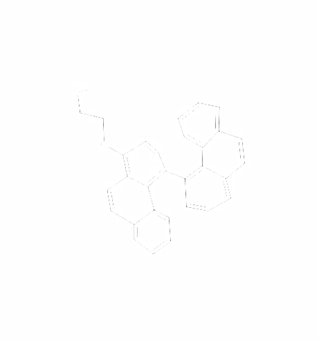 OCCOc1ccc(-c2cccc3ccc4ccccc4c23)c2c1ccc1ccccc12